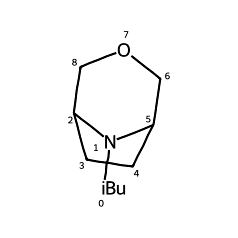 CCC(C)N1C2CCC1COC2